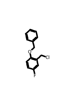 Fc1ccc(OCc2ccccc2)c(CCl)c1